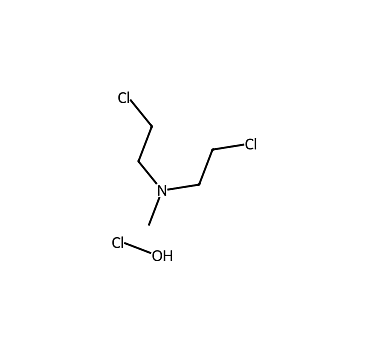 CN(CCCl)CCCl.OCl